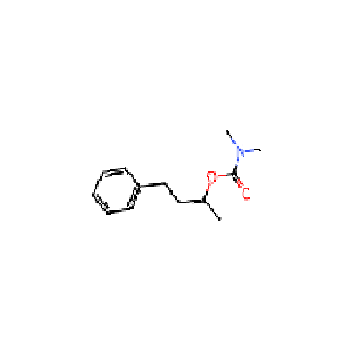 CC(CCc1ccccc1)OC(=O)N(C)C